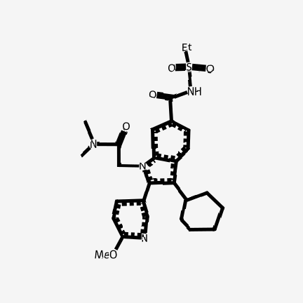 CCS(=O)(=O)NC(=O)c1ccc2c(C3CCCCC3)c(-c3ccc(OC)nc3)n(CC(=O)N(C)C)c2c1